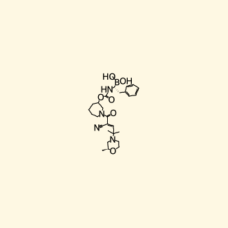 C[C@H]1CN(C(C)(C)C=C(C#N)C(=O)N2CCCC[C@@H](OC(=O)N[C@@H](Cc3ccccc3)B(O)O)C2)CCO1